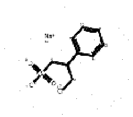 O=S(=O)([O-])CC(CCl)c1ccccc1.[Na+]